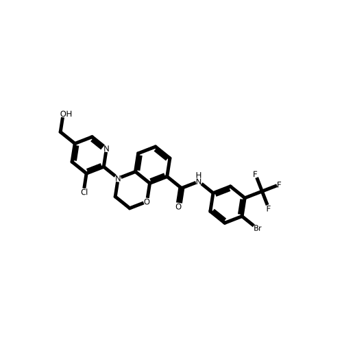 O=C(Nc1ccc(Br)c(C(F)(F)F)c1)c1cccc2c1OCCN2c1ncc(CO)cc1Cl